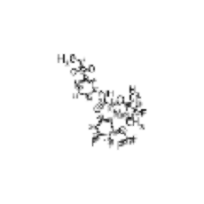 CCS(=O)(=O)c1cc(NC(=O)[C@H]2O[C@](C)(C(F)(F)F)[C@H](C)[C@@H]2c2ccc(F)c(F)c2OC(F)F)ccn1